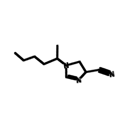 CCCCC(C)N1C=NC(C#N)C1